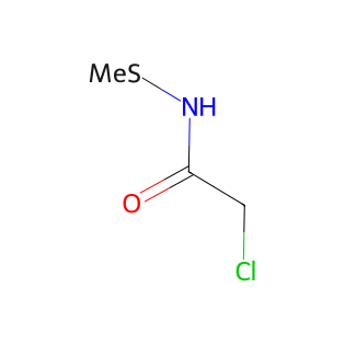 CSNC(=O)CCl